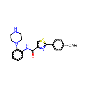 COc1ccc(-c2nc(C(=O)Nc3ccccc3N3CCNCC3)cs2)cc1